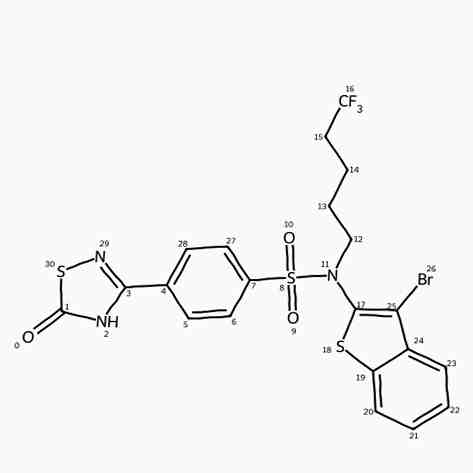 O=c1[nH]c(-c2ccc(S(=O)(=O)N(CCCCC(F)(F)F)c3sc4ccccc4c3Br)cc2)ns1